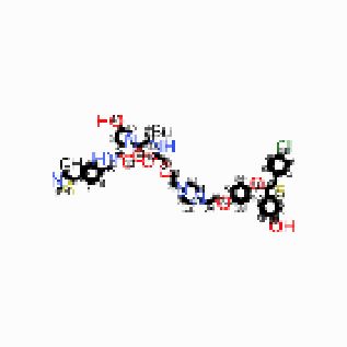 Cc1ncsc1-c1ccc(CNC(=O)[C@@H]2C[C@@H](O)CN2C(=O)[C@@H](NC(=O)COCCN2CCN(CCOc3ccc(Oc4c(-c5ccc(Cl)cc5)sc5cc(O)ccc45)cc3)CC2)C(C)(C)C)cc1